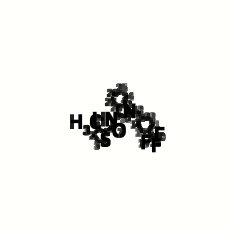 Cc1ccsc1C(=O)Nc1cn(Cc2ccc(C(F)(F)F)cc2)c2ccccc12